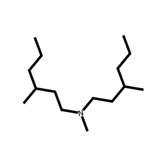 CCCC(C)CCN(C)CCC(C)CCC